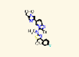 CCc1nc2ccc(-c3cnc(CC=O)cn3)cn2c1N(C)c1nc(-c2ccc(F)cc2)c(C#N)s1